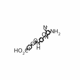 CN(C)Cc1cc(N)cc2nc(-c3ccc(NC(=O)COC4CCN(C(=O)O)CC4)cc3)oc12